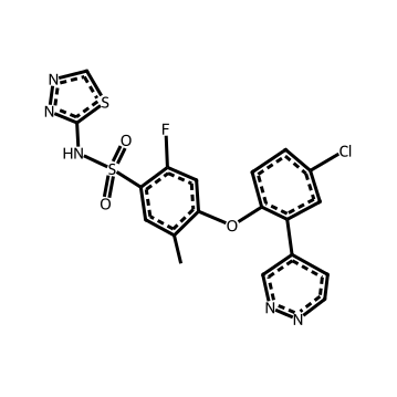 Cc1cc(S(=O)(=O)Nc2nncs2)c(F)cc1Oc1ccc(Cl)cc1-c1ccnnc1